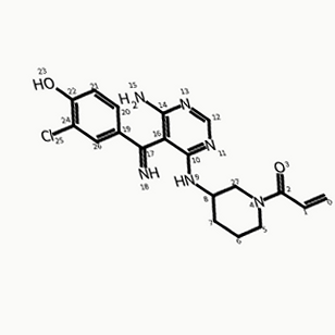 C=CC(=O)N1CCCC(Nc2ncnc(N)c2C(=N)c2ccc(O)c(Cl)c2)C1